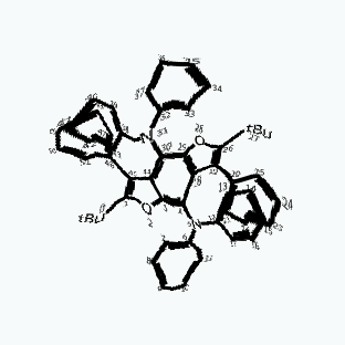 CC(C)(C)c1oc2c(N(c3ccccc3)c3ccccc3)c3c(-c4ccccc4)c(C(C)(C)C)oc3c(N(c3ccccc3)c3ccccc3)c2c1-c1ccccc1